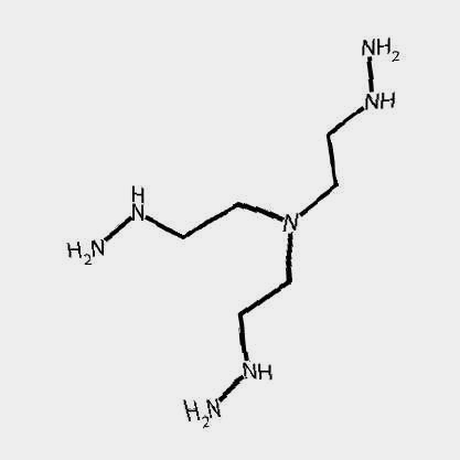 NNCCN(CCNN)CCNN